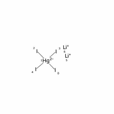 [I][Hg-2]([I])([I])[I].[Li+].[Li+]